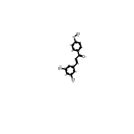 CCSc1ccc(C(=O)/C=C/c2cc(CC)cc(CC)c2)cc1